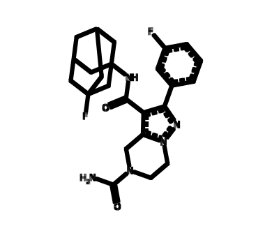 NC(=O)N1CCn2nc(-c3cccc(F)c3)c(C(=O)NC34CC5CC(CC(F)(C5)C3)C4)c2C1